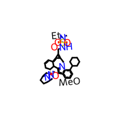 CCN(C)S(=O)(=O)NC(=O)C1=C2Cn3c(cc4c(OC)ccc(C5CCCCC5)c43)C3C(=C21)C=CC[C@H]3C(=O)N1C2CCC1CN(C)C2